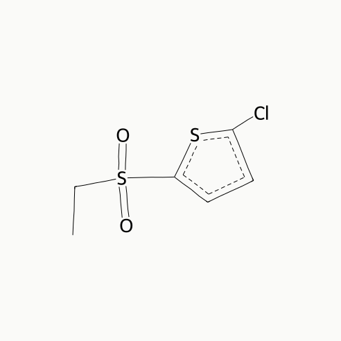 CCS(=O)(=O)c1ccc(Cl)s1